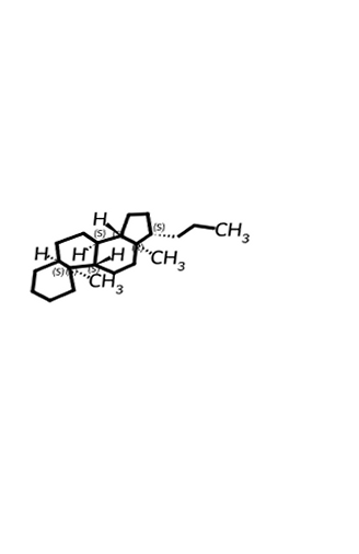 CCC[C@H]1CC[C@H]2[C@@H]3CC[C@@H]4CCCC[C@]4(C)[C@H]3CC[C@]12C